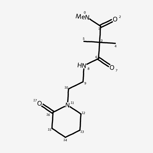 CNC(=O)C(C)(C)C(=O)NCCN1CCCCC1=O